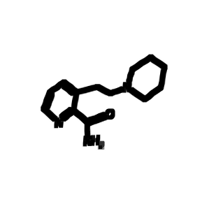 NC(=O)c1ncccc1CCN1CCCCC1